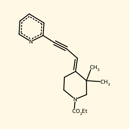 CCOC(=O)N1CC/C(=C\C#Cc2ccccn2)C(C)(C)C1